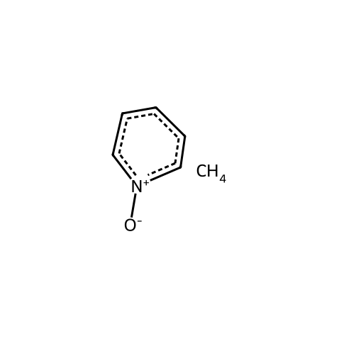 C.[O-][n+]1ccccc1